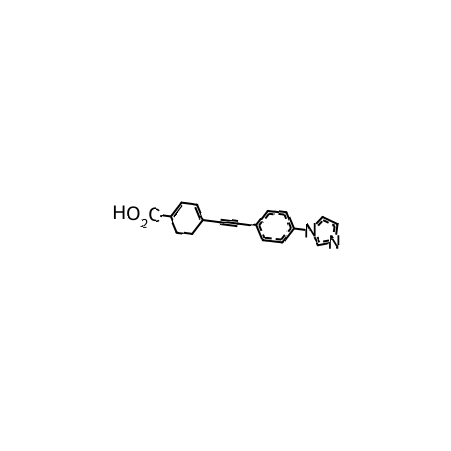 O=C(O)C1=CC=C(C#Cc2ccc(-n3ccnc3)cc2)CC1